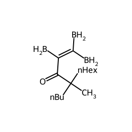 BC(B)=C(B)C(=O)C(C)(CCCC)CCCCCC